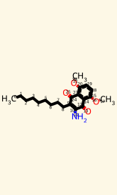 CCCCCCCCCC1=C(N)C(=O)c2c(OC)ccc(OC)c2C1=O